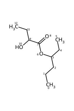 CCCC(CC)OC(=O)C(O)CC